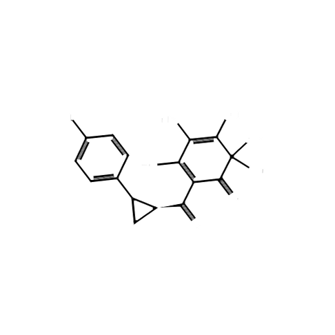 CCCC1=C(O)C(CCC)(CCC)C(=O)C(C(=O)[C@H]2CC2c2ccc(Cl)cc2)=C1O